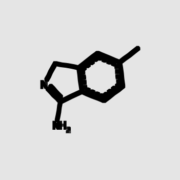 Cc1ccc2c(c1)CN=C2N